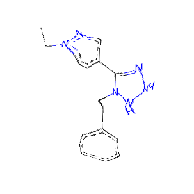 CCn1cc(C2=NNNN2Cc2ccccc2)cn1